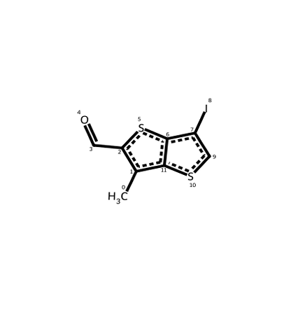 Cc1c(C=O)sc2c(I)csc12